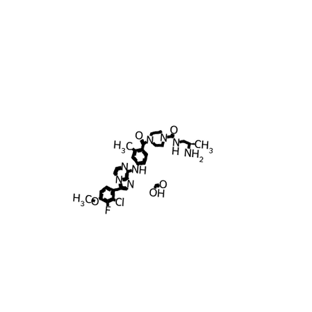 COc1ccc(-c2cnc3c(Nc4ccc(C(=O)N5CCN(C(=O)NC[C@@H](C)N)CC5)c(C)c4)nccn23)c(Cl)c1F.O=CO